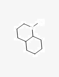 SN1CCCC2CCCCC21